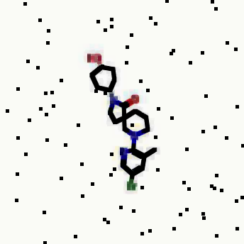 Cc1cc(Br)cnc1N1CCCC2(CCN([C@H]3CC[C@@H](O)CC3)C2=O)C1